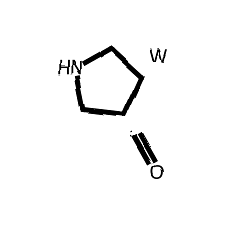 C1CCNC1.[C]=O.[W]